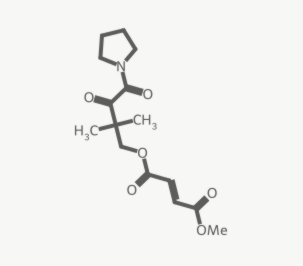 COC(=O)/C=C/C(=O)OCC(C)(C)C(=O)C(=O)N1CCCC1